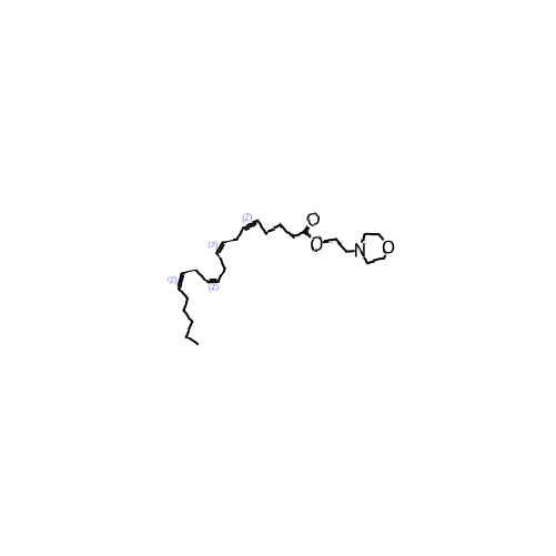 CCCCC/C=C\C/C=C\C/C=C\C/C=C\CCCC(=O)OCCN1CCOCC1